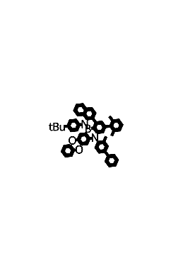 Cc1cc(-c2ccccc2)ccc1N1c2cc3c(cc2B2c4c(cc(-c5c(C)cccc5C)cc41)-c1ccc4ccccc4c1N2c1ccc(C(C)(C)C)cc1)Oc1ccccc1O3